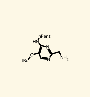 CCCCCNc1nc(CN)ncc1OC(C)(C)C